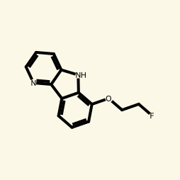 FCCOc1cccc2c1[nH]c1cccnc12